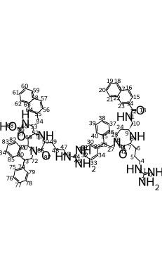 N=C(N)NCCC[C@@H]1N[C@H](CNC(=O)c2ccc3ccccc3c2)CCN(CC(c2ccccc2)c2ccccc2)C1=O.N=C(N)NCCC[C@@H]1N[C@H]([C@@H](Cc2ccc3ccccc3c2)NC(=O)O)CCN(CC(c2ccccc2)c2ccccc2)C1=O